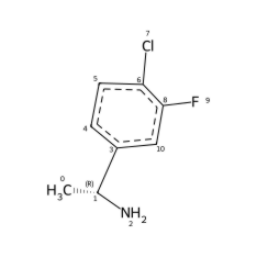 C[C@@H](N)c1ccc(Cl)c(F)c1